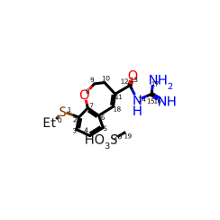 CCSc1cccc2c1OCCC(C(=O)NC(=N)N)=C2.CS(=O)(=O)O